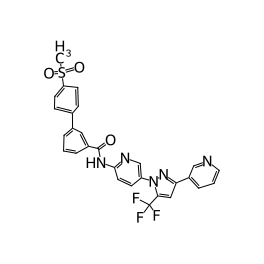 CS(=O)(=O)c1ccc(-c2cccc(C(=O)Nc3ccc(-n4nc(-c5cccnc5)cc4C(F)(F)F)cn3)c2)cc1